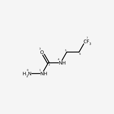 NNC(=O)NCCC(F)(F)F